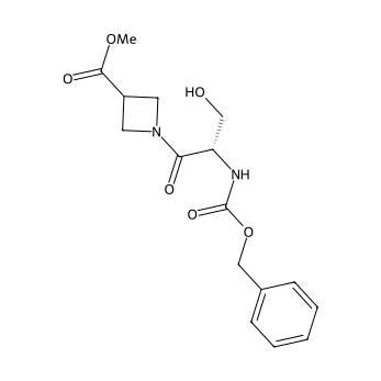 COC(=O)C1CN(C(=O)[C@H](CO)NC(=O)OCc2ccccc2)C1